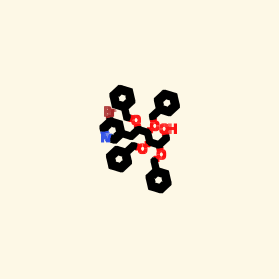 OCC(OCc1ccccc1)C(OCc1ccccc1)C(OCc1ccccc1)C(Cc1cncc(Br)c1)OCc1ccccc1